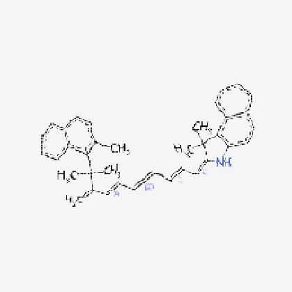 C=C(/C=C/C=C/C=C/C=C1/Nc2ccc3ccccc3c2C1(C)C)C(C)(C)c1c(C)ccc2ccccc12